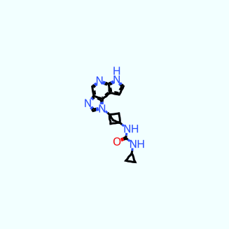 O=C(NC1CC1)NC12CC(n3cnc4cnc5[nH]ccc5c43)(C1)C2